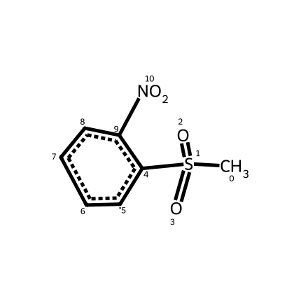 CS(=O)(=O)c1[c]cccc1[N+](=O)[O-]